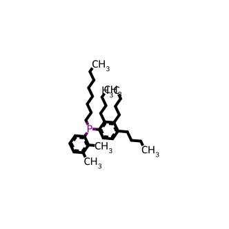 CCCCCCCCP(c1cccc(C)c1C)c1ccc(CCCC)c(CCCC)c1CCCC